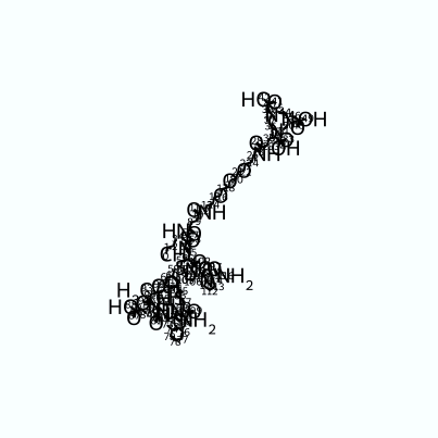 CCCC[C@H](NC(=O)CCC(=O)NCCCOCCOCCOCCCNC(=O)CCC(C(=O)O)N1CCN(CC(=O)O)CCN(CC(=O)O)CC1)C(=O)/N=C/C(CSCc1cccc(CSCC(NC(=O)[C@H](Cc2ccccc2)NC(=O)[C@H](CCC(=O)O)NC(=O)[C@@H](C)[C@@H](C)O)C(N)=O)c1)C(=O)N1CCC[C@H]1C(=O)N1CCC[C@H]1C(N)=O